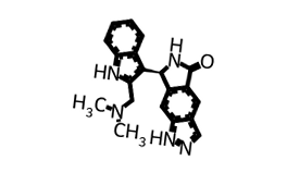 CN(C)Cc1[nH]c2ccccc2c1[C@H]1NC(=O)c2cc3cn[nH]c3cc21